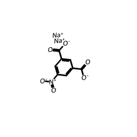 O=C([O-])c1cc(C(=O)[O-])cc([N+](=O)[O-])c1.[Na+].[Na+]